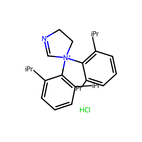 CC(C)c1cccc(C(C)C)c1[N+]1(c2c(C(C)C)cccc2C(C)C)C=NCC1.Cl